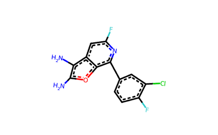 Nc1oc2c(-c3ccc(F)c(Cl)c3)nc(F)cc2c1N